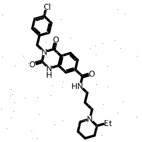 CCC1CCCCN1CCCNC(=O)c1ccc2c(=O)n(Cc3ccc(Cl)cc3)c(=O)[nH]c2c1